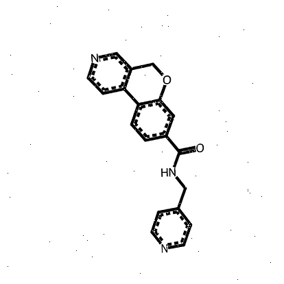 O=C(NCc1ccncc1)c1ccc2c(c1)OCc1cnccc1-2